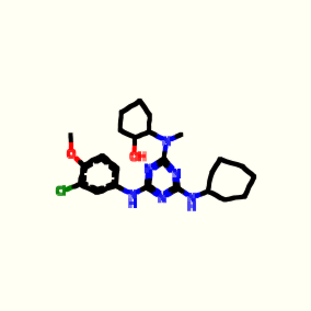 COc1ccc(Nc2nc(NC3CCCCCC3)nc(N(C)C3CCCCC3O)n2)cc1Cl